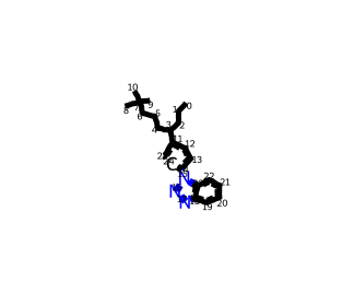 CCCC(CCCC(C)(C)C)c1ccc(-n2nnc3ccccc32)cc1